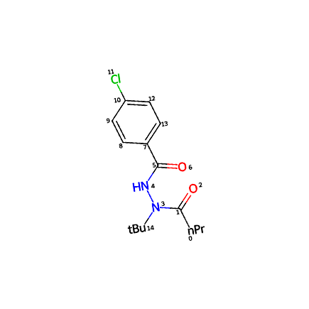 CCCC(=O)N(NC(=O)c1ccc(Cl)cc1)C(C)(C)C